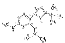 CBc1ccc(-c2ccc(C(C)(C)C)s2)c(CN(C)C)c1